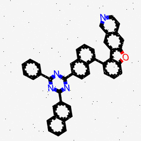 c1ccc(-c2nc(-c3ccc4ccccc4c3)nc(-c3ccc4c(-c5cccc6oc7cc8ccncc8cc7c56)cccc4c3)n2)cc1